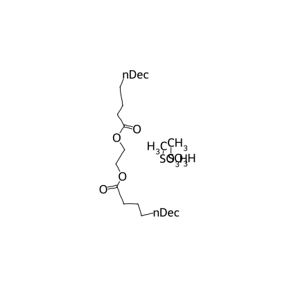 CCCCCCCCCCCCCC(=O)OCCOC(=O)CCCCCCCCCCCCC.CS(=O)(=O)O.CS(=O)(=O)O